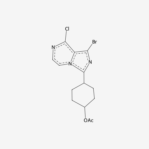 CC(=O)OC1CCC(c2nc(Br)c3c(Cl)nccn23)CC1